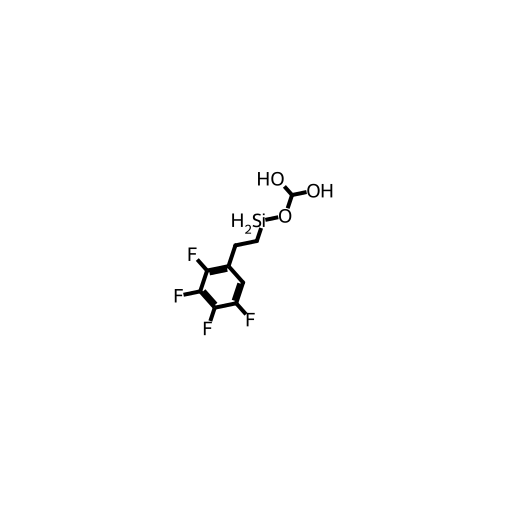 OC(O)O[SiH2]CCc1cc(F)c(F)c(F)c1F